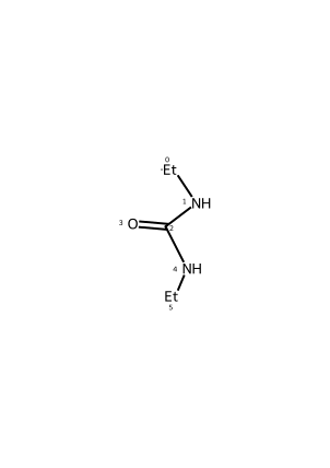 C[CH]NC(=O)NCC